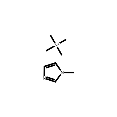 C[N+](C)(C)C.Cn1ccnc1